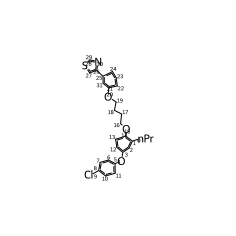 CCCc1cc(Oc2ccc(Cl)cc2)ccc1OCCCCOc1cccc(-c2cscn2)c1